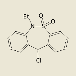 CCN1c2ccccc2C(Cl)c2ccccc2S1(=O)=O